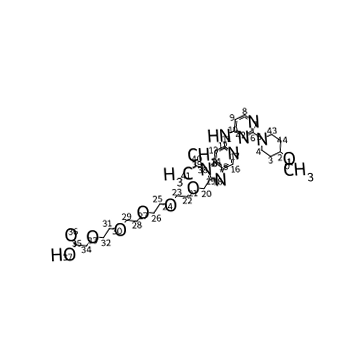 COC1CCN(c2nccc(Nc3cc4c(cn3)nc(COCCOCCOCCOCCOCC(=O)O)n4C(C)C)n2)CC1